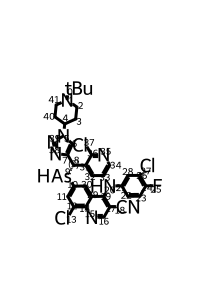 CC(C)(C)N1CCC(n2cc([C@@H]([AsH]c3cc(Cl)c4ncc(C#N)c(Nc5ccc(F)c(Cl)c5)c4c3)c3cccnc3Cl)nn2)CC1